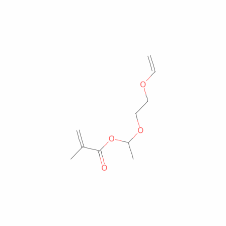 C=COCCOC(C)OC(=O)C(=C)C